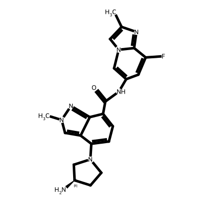 Cc1cn2cc(NC(=O)c3ccc(N4CC[C@@H](N)C4)c4cn(C)nc34)cc(F)c2n1